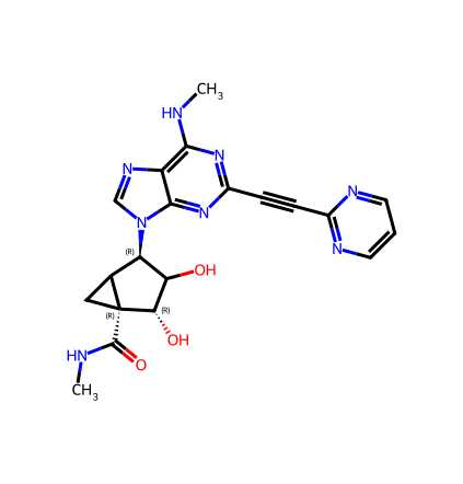 CNC(=O)[C@]12CC1[C@@H](n1cnc3c(NC)nc(C#Cc4ncccn4)nc31)C(O)[C@@H]2O